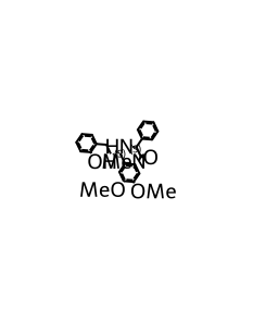 CNC(=O)[C@@H](N[C@@H](CCc1ccccc1O)c1ccc(OC)c(OC)c1)c1ccccc1